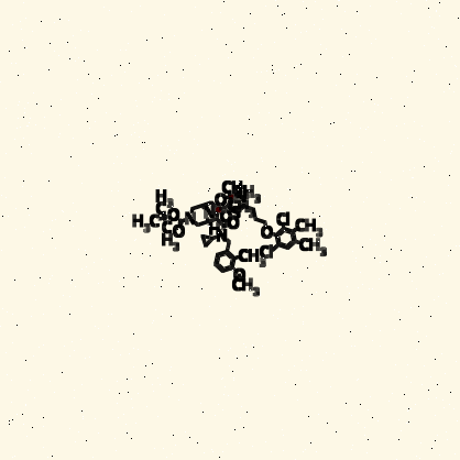 COc1cccc(CN(C(=O)C2=C(c3cnc(CCCOc4c(Cl)cc(C)c(C)c4Cl)s3)CC3CN(C(=O)OC(C)(C)C)C[C@H]2N3C(=O)OC(C)(C)C)C2CC2)c1C